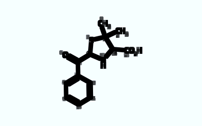 CC1(C)SC(C(=O)c2ccccc2)NC1C(=O)O